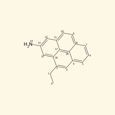 CCc1cc2cccc3ccc4cc(N)cc1c4c32